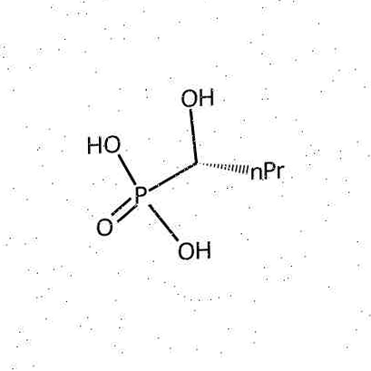 CCC[C@@H](O)P(=O)(O)O